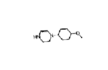 CO[C@H]1CC[C@H](N2C=CNCC2)CC1